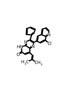 CC(C)=Cc1cc(=O)[nH]c2nc(-c3ccccc3)c(-c3cc(Cl)c4ncccc4c3)nc12